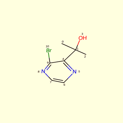 CC(C)(O)c1nccnc1Br